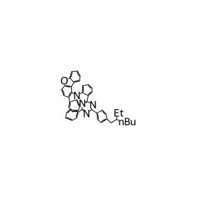 CCCCC(CC)Cc1ccc(-c2nc(-c3ccccc3)nc(-c3ccccc3-n3c4ccccc4c4ccc5oc6ccccc6c5c43)n2)cc1